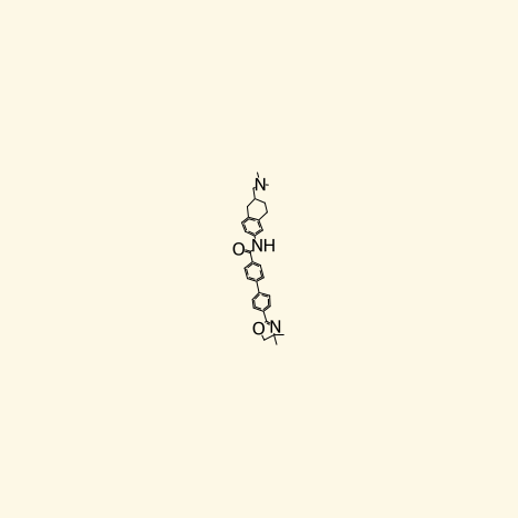 CN(C)CC1CCc2cc(NC(=O)c3ccc(-c4ccc(C5=NC(C)(C)CO5)cc4)cc3)ccc2C1